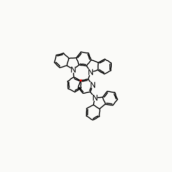 C1=CC2c3ccccc3N(c3cccc(-n4c5ccccc5c5ccc6c(c54)N(c4ccccc4)C4C=CC=CC64)n3)C2C=C1